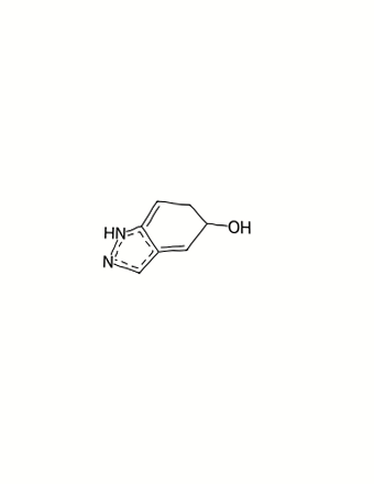 OC1C=c2cn[nH]c2=CC1